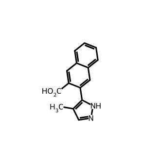 Cc1cn[nH]c1-c1cc2ccccc2cc1C(=O)O